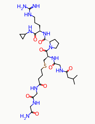 CC(C)CC(=O)NCC(=O)N[C@@H](CSCCCC(=O)NCC(=O)NCC(N)=O)C(=O)N1CCC[C@H]1C(=O)N[C@H](CCCNC(=N)N)C(=O)NC1CC1